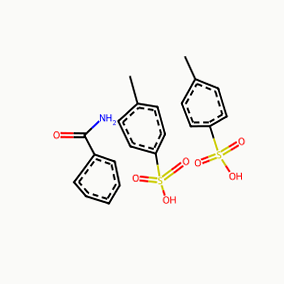 Cc1ccc(S(=O)(=O)O)cc1.Cc1ccc(S(=O)(=O)O)cc1.NC(=O)c1ccccc1